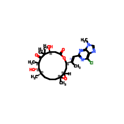 C/C(=C\c1nc(Cl)c2ncn(C)c2n1)[C@@H]1C[C@@H]2O[C@]2(C)CCC[C@H](C)[C@H](O)[C@@H](C)C(=O)C(C)(C)[C@@H](O)CC(=O)O1